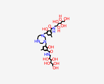 Cc1cc(CN2CCCNCCN(Cc3cc(C)cc(C(=O)NCC(O)C(O)C(O)C(O)CO)c3O)CC2)c(O)c(C(=O)NCC(O)C(O)C(O)C(O)CO)c1